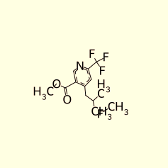 CF.COC(=O)c1cnc(C(F)(F)F)cc1CC(C)C